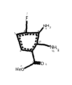 COC(=O)c1ccc(F)c(N)c1N